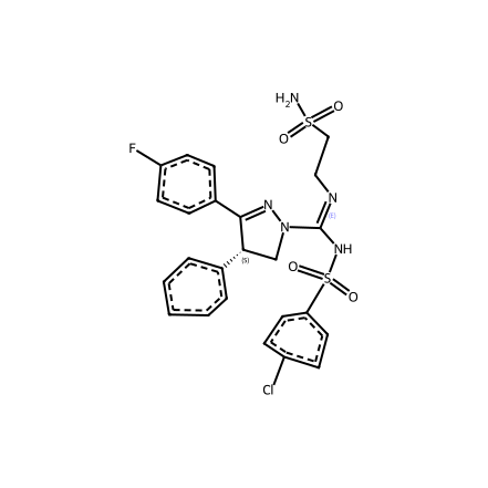 NS(=O)(=O)CC/N=C(/NS(=O)(=O)c1ccc(Cl)cc1)N1C[C@H](c2ccccc2)C(c2ccc(F)cc2)=N1